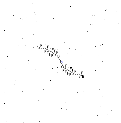 FC(F)(F)CCC(F)(F)C(F)(F)C(F)(F)C(F)(F)C(F)(F)OC/C=C/COC(F)(F)C(F)(F)C(F)(F)C(F)(F)C(F)(F)CCC(F)(F)F